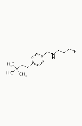 CC(C)(C)CCc1ccc(CNCCCF)cc1